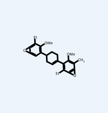 CCc1c2c(cc(C3CC=C(c4c(CC)c5c(c(C)c4OC)O5)CC3)c1OC)O2